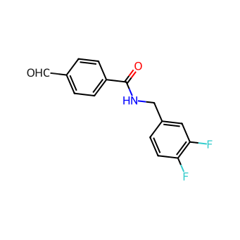 O=Cc1ccc(C(=O)NCc2ccc(F)c(F)c2)cc1